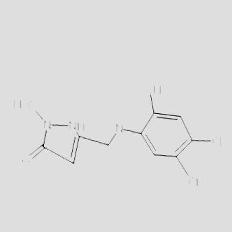 Cc1cc(NCc2cc(=O)n(C)[nH]2)c(C)cc1Cl